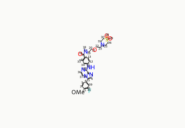 COc1ccc(-c2cnc3c(Nc4ccc(C(=O)N(C)CCOCCN5CCS(=O)(=O)CC5)c(C)c4)nccn23)cc1F